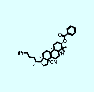 CC(C)CCC[C@@H](C)[C@H]1CC[C@@]2(C#N)C3=C(CC[C@]12C)[C@@]1(C)CC[C@H](OC(=O)c2ccccc2)C(C)(C)[C@@H]1CC3